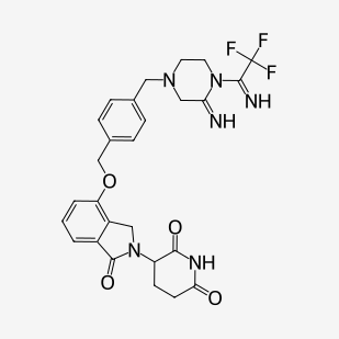 N=C1CN(Cc2ccc(COc3cccc4c3CN(C3CCC(=O)NC3=O)C4=O)cc2)CCN1C(=N)C(F)(F)F